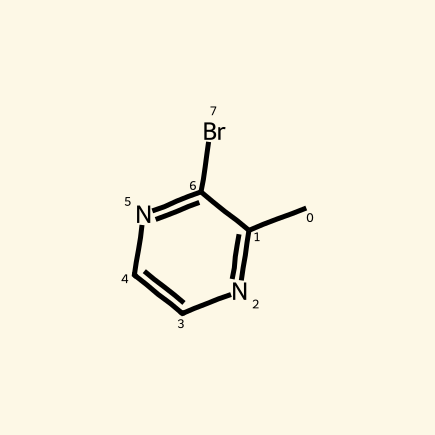 Cc1nccnc1Br